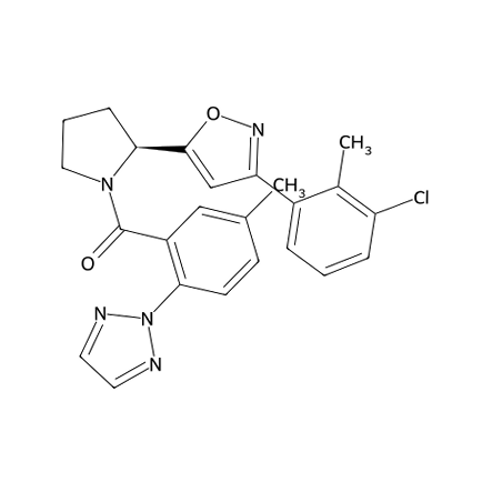 Cc1ccc(-n2nccn2)c(C(=O)N2CCC[C@H]2c2cc(-c3cccc(Cl)c3C)no2)c1